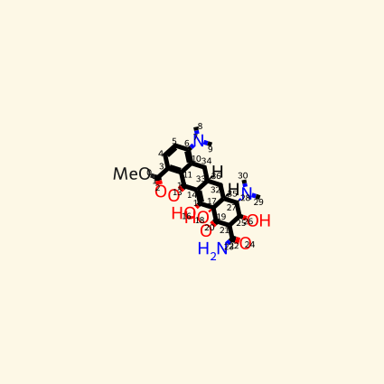 COC(=O)c1ccc(N(C)C)c2c1C(=O)C1=C(O)[C@]3(O)C(=O)C(C(N)=O)C(O)[C@@H](N(C)C)[C@@H]3C[C@@H]1C2